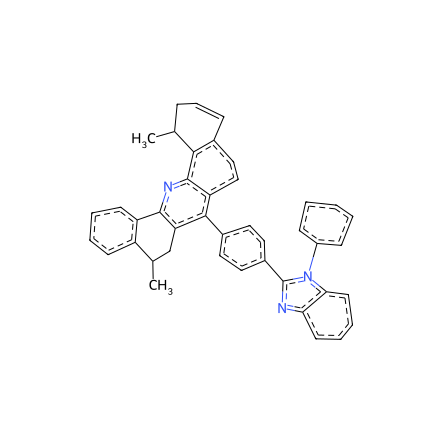 CC1Cc2c(nc3c4c(ccc3c2-c2ccc(-c3nc5ccccc5n3-c3ccccc3)cc2)C=CCC4C)-c2ccccc21